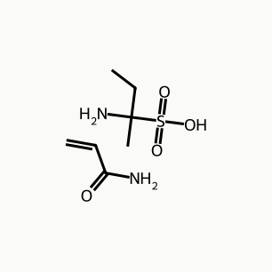 C=CC(N)=O.CCC(C)(N)S(=O)(=O)O